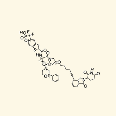 CC(C)(C)[C@H](NC(=O)c1cc2cc(C(F)(F)P(=O)(O)O)ccc2s1)C(=O)N1C[C@@H](OCCCCC#Cc2cccc3c2CN(C2CCC(=O)NC2=O)C3=O)C[C@H]1C(=O)N1CCO[C@H](c2ccccc2)C1